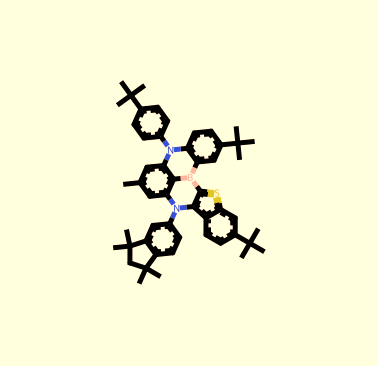 Cc1cc2c3c(c1)N(c1ccc4c(c1)C(C)(C)CC4(C)C)c1c(sc4cc(C(C)(C)C)ccc14)B3c1cc(C(C)(C)C)ccc1N2c1ccc(C(C)(C)C)cc1